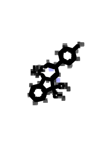 C/C=C(\C=C1/C(C)c2ccccc2C1(C)C)c1ccc(I)cc1